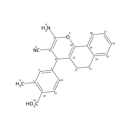 Cc1cc(C2C(C#N)=C(N)OC3=C2CCc2ccccc23)ccc1C(=O)O